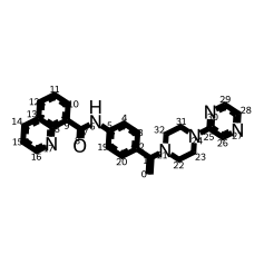 C=C(c1ccc(NC(=O)c2cccc3cccnc23)cc1)N1CCN(c2cnccn2)CC1